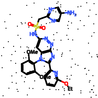 CCOc1cccc(-c2nc3nnc(NS(=O)(=O)Cc4ncc(N)cn4)cc3n2-c2c(OC)cccc2OC)n1